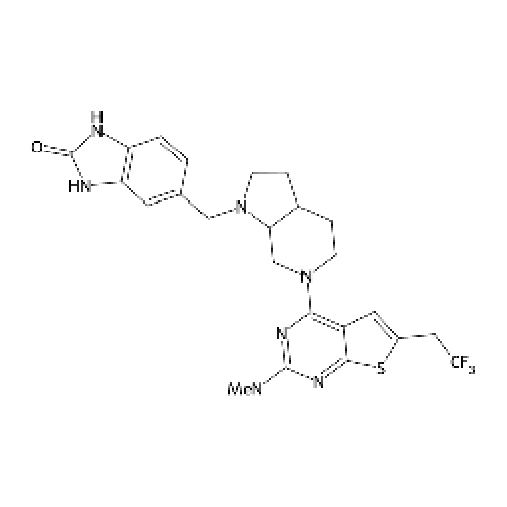 CNc1nc(N2CCC3CCN(Cc4ccc5[nH]c(=O)[nH]c5c4)C3C2)c2cc(CC(F)(F)F)sc2n1